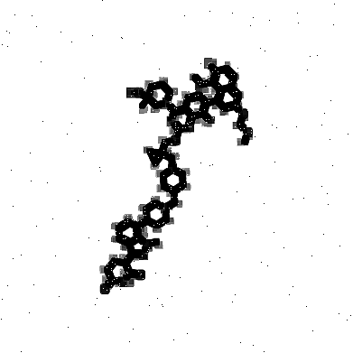 CCc1c(F)ccc2cc(OCOC)cc(-c3c(F)cc4c(N5CCC[C@@](C)(O)C5)nc(OCC5(CN6CCC(CN7CCC(c8cccc9c(C%10CCC(=O)NC%10=O)nn(C)c89)CC7)CC6)CC5)nc4c3F)c12